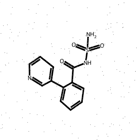 NS(=O)(=O)NC(=O)c1ccccc1-c1cccnc1